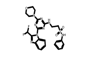 O=S(=O)(CCNc1nc(N2CCOCC2)nc(-n2c(C(F)F)nc3ccccc32)n1)Nc1ccccc1